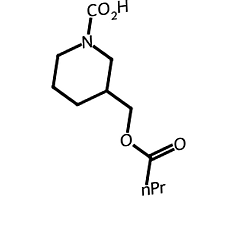 CCCC(=O)OCC1CCCN(C(=O)O)C1